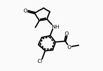 COC(=O)c1cc(Cl)ccc1NC1=C(C)C(=O)CC1